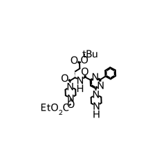 CCOC(=O)ON1CCN(C(=O)[C@H](CCC(=O)OC(C)(C)C)NC(=O)c2cc(N3CCNCC3)nc(-c3ccccc3)n2)CC1